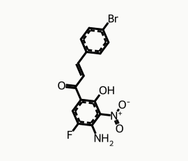 Nc1c(F)cc(C(=O)C=Cc2ccc(Br)cc2)c(O)c1[N+](=O)[O-]